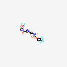 O=C(COc1ccc(C(F)(F)F)c(F)c1)NC12CC(n3cc(C(=O)N4CC[C@H](OC(F)(F)F)C4)cn3)(C1)C2